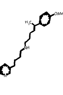 COc1ccc(C(C)=CCCCNCCCCc2cccnc2)cc1